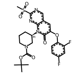 CC(C)(C)OC(=O)N1CCC[C@@H](n2c(=O)c(Oc3ccc(F)cc3F)cc3cnc(S(C)(=O)=O)nc32)C1